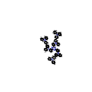 c1ccc(N(c2ccccc2)c2ccc(-c3ccc4c(c3)c3ccccc3n4-c3cccc(-c4nc(-c5cccc(-n6c7ccccc7c7cc(-c8ccc(N(c9ccccc9)c9ccccc9)cc8)ccc76)c5)nc(-c5cccc(-n6c7ccccc7c7cc(-c8ccc(N(c9ccccc9)c9ccccc9)cc8)ccc76)c5)n4)c3)cc2)cc1